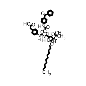 CCCCCCCCCCCCO[C@H]1O[C@H]([C@H](COC(=O)Nc2ccc(C(=O)c3ccccc3)cc2)NC(=O)Nc2ccc(CC(=O)O)cc2)[C@@H]2OC(C)(C)O[C@H]12